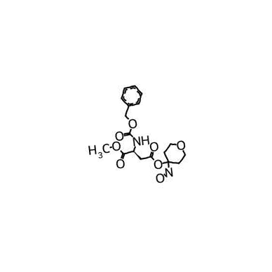 COC(=O)[C@H](CC(=O)OC1(N=O)CCOCC1)NC(=O)OCc1ccccc1